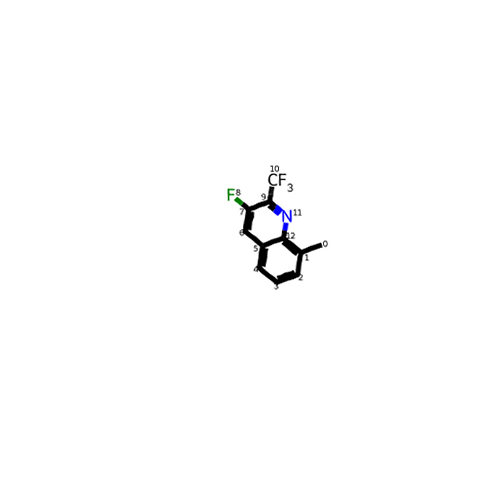 Cc1cccc2cc(F)c(C(F)(F)F)nc12